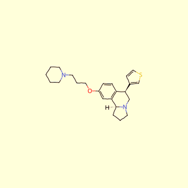 c1cc([C@H]2CN3CCC[C@H]3c3cc(OCCCN4CCCCC4)ccc32)cs1